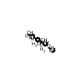 CC(=O)c1ccc(-c2ccc(C(C)(c3ccc(OCc4ncccn4)cn3)C(C)C)cc2)nn1